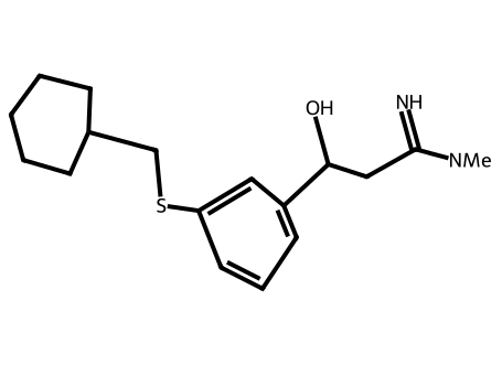 CNC(=N)CC(O)c1cccc(SCC2CCCCC2)c1